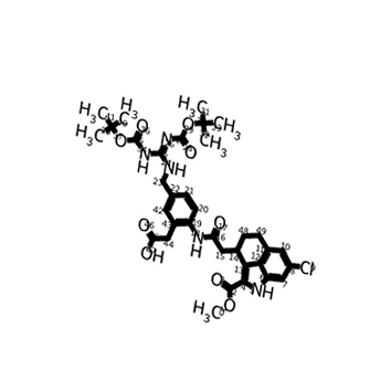 COC(=O)c1[nH]c2cc(Cl)cc3c2c1C(CC(=O)Nc1ccc(CN/C(=N\C(=O)OC(C)(C)C)NC(=O)OC(C)(C)C)cc1CC(=O)O)CC3